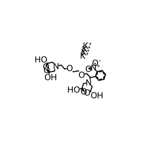 O=C(O)CN(CCOCCOCC(c1ccccc1[N+](=O)[O-])N(CC(=O)O)CC(=O)O)CC(=O)O.[K+].[K+].[K+].[K+]